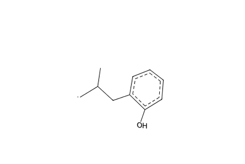 [CH2]C(C)Cc1ccccc1O